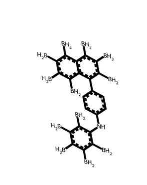 Bc1c(B)c(B)c(Nc2ccc(-c3c(B)c(B)c(B)c4c(B)c(B)c(B)c(B)c34)cc2)c(B)c1B